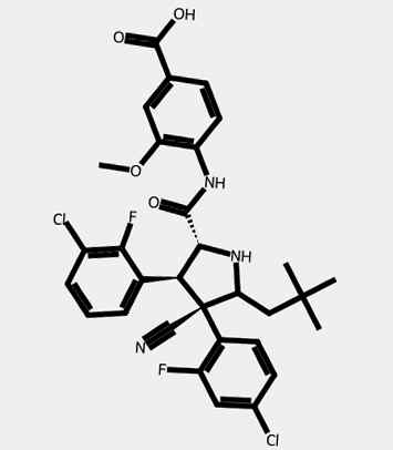 COc1cc(C(=O)O)ccc1NC(=O)[C@@H]1NC(CC(C)(C)C)[C@](C#N)(c2ccc(Cl)cc2F)[C@H]1c1cccc(Cl)c1F